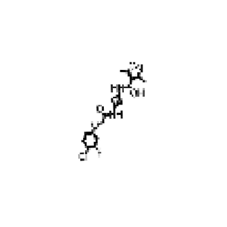 Cc1noc(C)c1C(O)NC12CC(NC(=O)COc3ccc(Cl)c(F)c3)(C1)C2